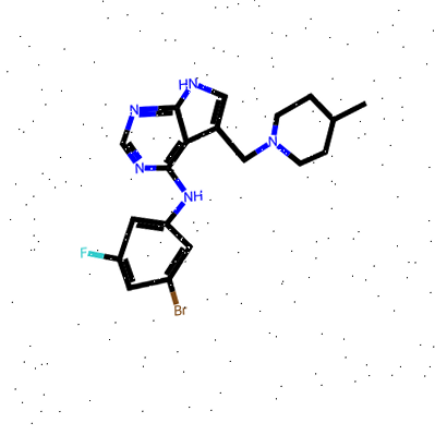 CC1CCN(Cc2c[nH]c3ncnc(Nc4cc(F)cc(Br)c4)c23)CC1